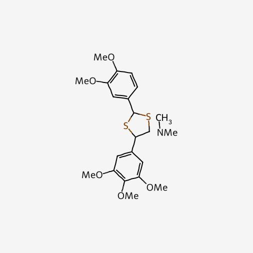 CNC.COc1ccc(C2SCC(c3cc(OC)c(OC)c(OC)c3)S2)cc1OC